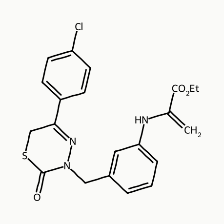 C=C(Nc1cccc(CN2N=C(c3ccc(Cl)cc3)CSC2=O)c1)C(=O)OCC